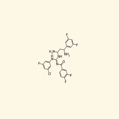 NC(CC(N)c1cc(F)cc(F)c1)N/C(=N\C(=O)c1ccc(F)c(F)c1)Nc1cc(F)cc(Cl)c1